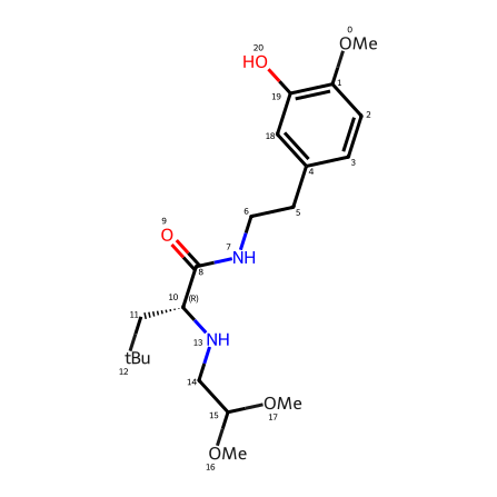 COc1ccc(CCNC(=O)[C@@H](CC(C)(C)C)NCC(OC)OC)cc1O